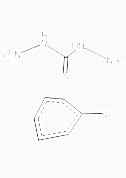 Clc1ccccc1.NNC(=O)NN